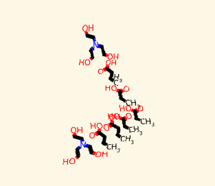 CCC(=O)O.CCC(=O)O.CCC(=O)O.CCCC(=O)O.CCCC(=O)O.CCCC(=O)O.OCCN(CCO)CCO.OCCN(CCO)CCO